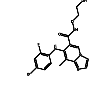 Cc1c(Nc2ccc(Br)cc2F)c(C(=O)NOCCO)cn2ccnc12